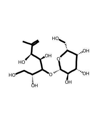 C=C(C)[C@H](O)[C@@H](O)C(O[C@@H]1O[C@H](CO)[C@H](O)[C@H](O)[C@H]1O)[C@H](O)CO